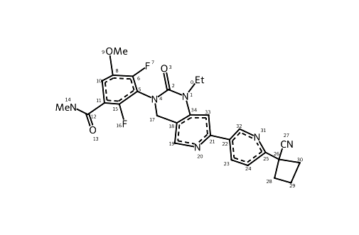 CCN1C(=O)N(c2c(F)c(OC)cc(C(=O)NC)c2F)Cc2cnc(-c3ccc(C4(C#N)CCC4)nc3)cc21